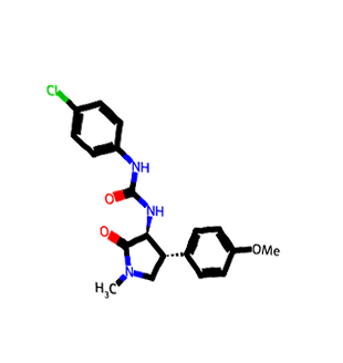 COc1ccc([C@@H]2CN(C)C(=O)[C@H]2NC(=O)Nc2ccc(Cl)cc2)cc1